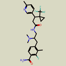 Cc1ccc(C(CC(=O)NCC(Cc2ccc(C(N)=O)c(F)c2C)N(C)C)C2(C(F)(F)F)CC2)cn1